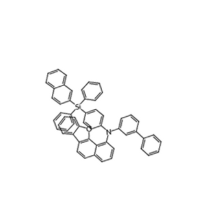 c1ccc(-c2cccc(N(c3ccc([Si](c4ccccc4)(c4ccccc4)c4ccc5ccccc5c4)cc3)c3cccc4ccc5c6ccccc6oc5c34)c2)cc1